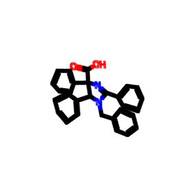 O=C(O)C1(c2ccccc2)N=C(c2ccccc2)N(Cc2ccccc2)C1c1ccccc1